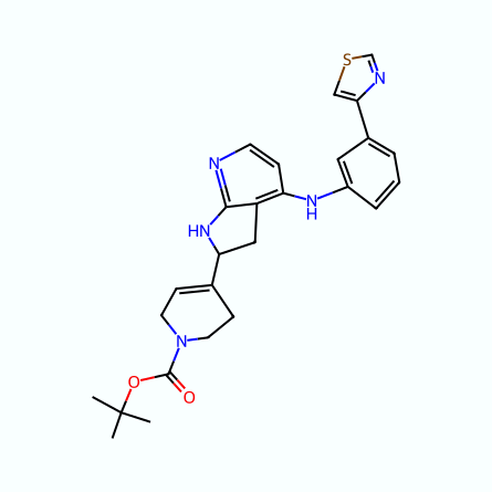 CC(C)(C)OC(=O)N1CC=C(C2Cc3c(Nc4cccc(-c5cscn5)c4)ccnc3N2)CC1